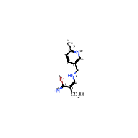 CCOC(=O)/C(=C/NCc1ccc(C(F)(F)F)nc1)C(=N)Br